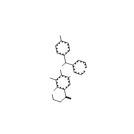 N#Cc1ccc(C(Oc2c(F)cc3c(c2Br)OCCC3=O)c2ccncc2)cc1